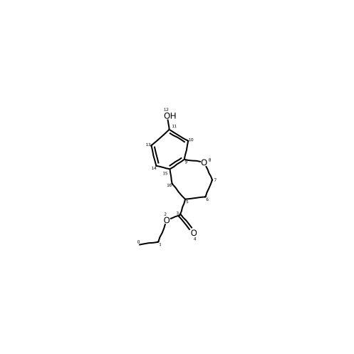 CCOC(=O)C1CCOc2cc(O)ccc2C1